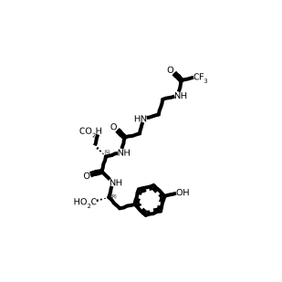 O=C(O)C[C@H](NC(=O)CNCCNC(=O)C(F)(F)F)C(=O)N[C@H](Cc1ccc(O)cc1)C(=O)O